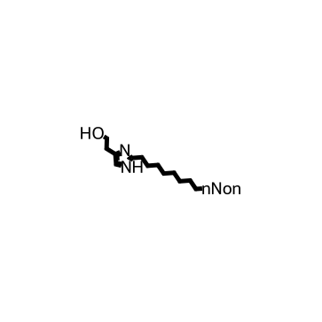 CCCCCCCCCCCCCCCCCc1nc(CCO)c[nH]1